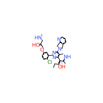 CC/C(O)=C(/C(C)=N)c1nc(-c2cc(OC[C@H](O)CNC)ccc2Cl)nc(N2Cc3cccnc3C2)c1C